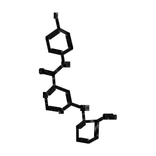 COc1ccccc1Nc1cc(C(=O)Nc2ccc(F)cc2)ncn1